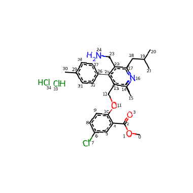 COC(=O)c1cc(Cl)ccc1OCc1c(C)nc(CC(C)C)c(CN)c1-c1ccc(C)cc1.Cl.Cl